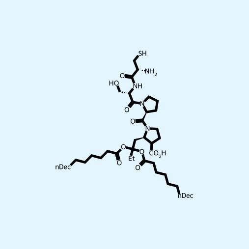 CCCCCCCCCCCCCCCC(=O)OC(CC)(C[C@@H]1C(C(=O)O)CCN1C(=O)[C@@H]1CCCN1C(=O)[C@H](CO)NC(=O)[C@@H](N)CS)OC(=O)CCCCCCCCCCCCCCC